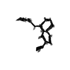 CC(=O)NOCc1cccc2ccc(O)cc12